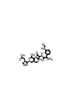 CO/N=C(/C(=O)NC1C(=O)N2C(C(=O)O)=C(CSc3nnnn3CC(=O)O)CS[C@H]12)c1cccc(NC=O)c1